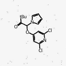 CC(C)(C)C(=O)C(Oc1cc(Cl)nc(Cl)c1)n1cccc1